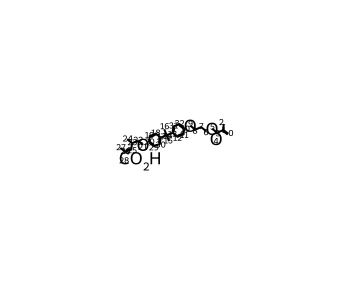 C=C(C)C(=O)OCCCOc1ccc(C(C)(C)c2ccc(OCC(C)C=C(C)C(=O)O)cc2)cc1